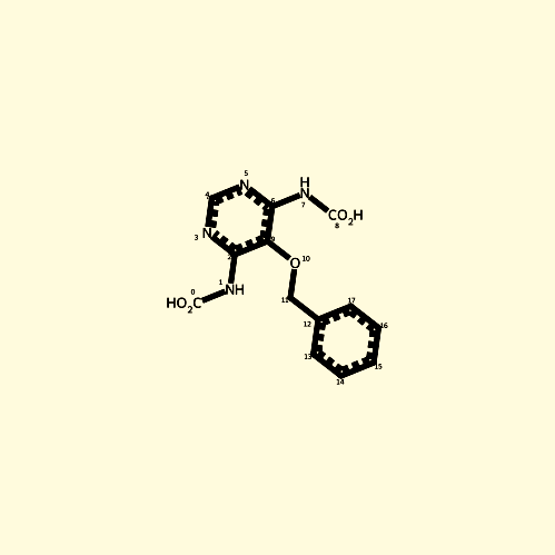 O=C(O)Nc1n[c]nc(NC(=O)O)c1OCc1ccccc1